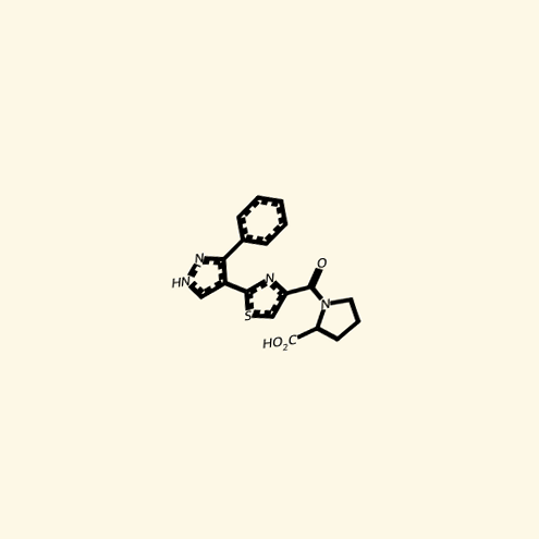 O=C(O)C1CCCN1C(=O)c1csc(-c2c[nH]nc2-c2ccccc2)n1